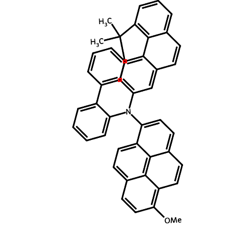 COc1ccc2ccc3c(N(c4cc5c6c(ccc7cccc(c76)C5(C)C)c4)c4ccccc4-c4ccccc4)ccc4ccc1c2c43